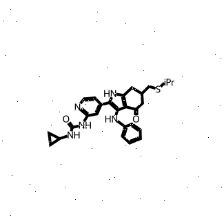 CC(C)SCC1CC(=O)c2c([nH]c(-c3ccnc(NC(=O)NC4CC4)c3)c2Nc2ccccc2)C1